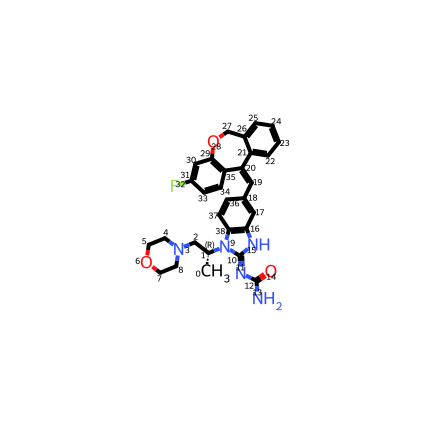 C[C@H](CN1CCOCC1)n1c(=NC(N)=O)[nH]c2cc(C=C3c4ccccc4COc4cc(F)ccc43)ccc21